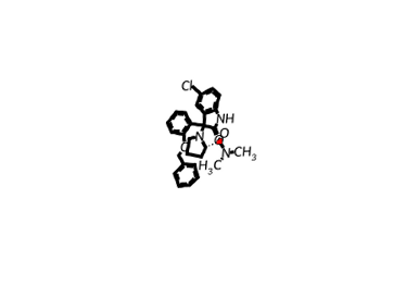 CN(C)C(=O)[C@@H]1CCCN1C1(c2ccccc2OCc2ccccc2)C(=O)Nc2ccc(Cl)cc21